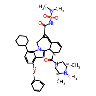 C[C@@H]1CN(C(=O)[C@@H]2CC=CC3=C4C(=C4C(=O)NS(=O)(=O)N(C)C)Cn4c(cc5c(OCc6ccccc6)ccc(C6CCCCC6)c54)C32)C[C@H](C)N1C